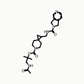 CC(=O)NCC(C)(C)OC(=O)N1CCC2(CC1)CC2CNC(=O)N1Cc2ccncc2C1